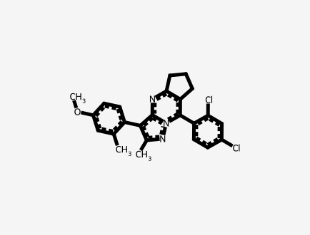 COc1ccc(-c2c(C)nn3c(-c4ccc(Cl)cc4Cl)c4c(nc23)CCC4)c(C)c1